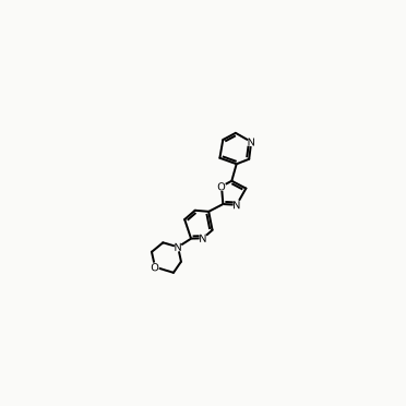 c1cncc(-c2cnc(-c3ccc(N4CCOCC4)nc3)o2)c1